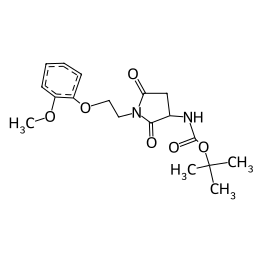 COc1ccccc1OCCN1C(=O)CC(NC(=O)OC(C)(C)C)C1=O